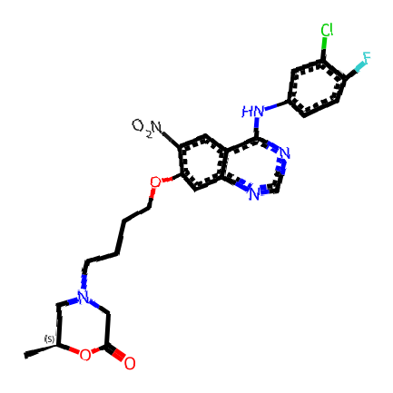 C[C@H]1CN(CCCCOc2cc3ncnc(Nc4ccc(F)c(Cl)c4)c3cc2[N+](=O)[O-])CC(=O)O1